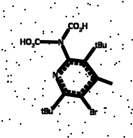 Cc1c(Br)c(C(C)(C)C)nc(N(C(=O)O)C(=O)O)c1C(C)(C)C